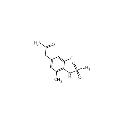 Cc1cc([CH]C(N)=O)cc(F)c1NS(C)(=O)=O